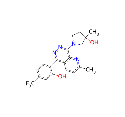 Cc1ccc2c(-c3ccc(C(F)(F)F)cc3O)nnc(N3CCC(C)(O)C3)c2n1